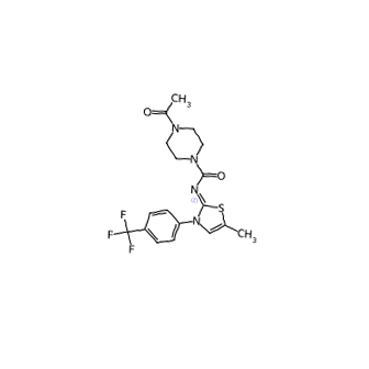 CC(=O)N1CCN(C(=O)/N=c2\sc(C)cn2-c2ccc(C(F)(F)F)cc2)CC1